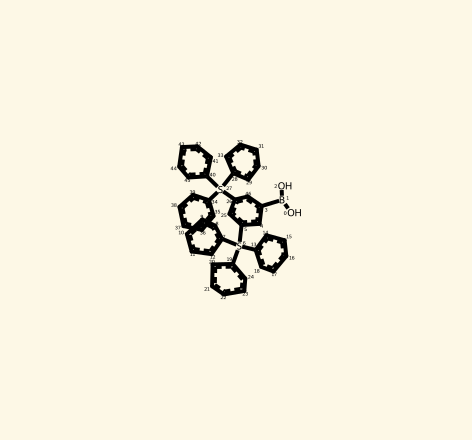 OB(O)c1cc(S(c2ccccc2)(c2ccccc2)c2ccccc2)cc(S(c2ccccc2)(c2ccccc2)c2ccccc2)c1